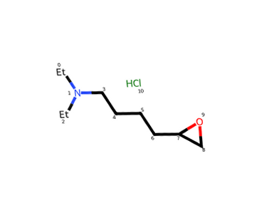 CCN(CC)CCCCC1CO1.Cl